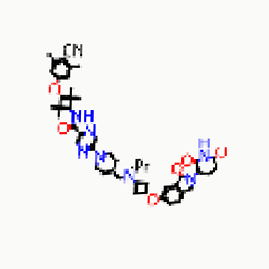 Cc1cc(OC2C(C)(C)C(NC(=O)c3cnc(N4CCC(CN(C(C)C)C5CC(Oc6ccc7c(c6)C(=O)N([C@@H]6CCC(=O)NC6=O)C7)C5)CC4)cn3)C2(C)C)cc(C)c1C#N